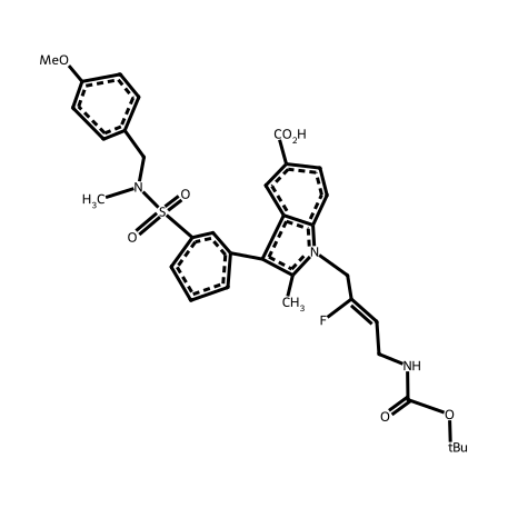 COc1ccc(CN(C)S(=O)(=O)c2cccc(-c3c(C)n(C/C(F)=C/CNC(=O)OC(C)(C)C)c4ccc(C(=O)O)cc34)c2)cc1